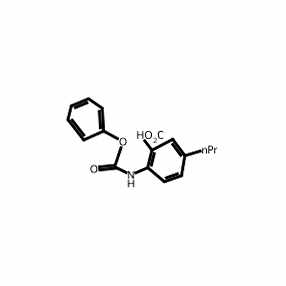 CCCc1ccc(NC(=O)Oc2ccccc2)c(C(=O)O)c1